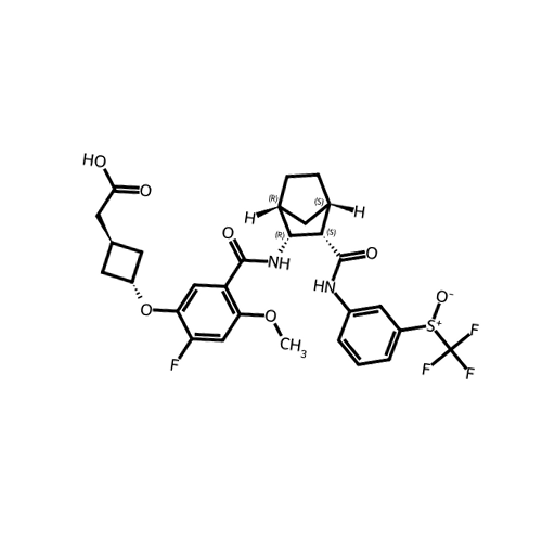 COc1cc(F)c(O[C@H]2C[C@H](CC(=O)O)C2)cc1C(=O)N[C@@H]1[C@@H]2CC[C@@H](C2)[C@@H]1C(=O)Nc1cccc([S+]([O-])C(F)(F)F)c1